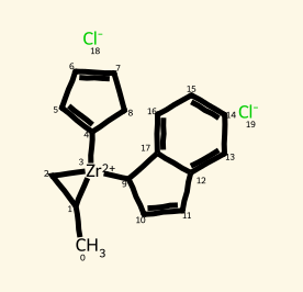 C[CH]1[CH2][Zr+2]1([C]1=CC=CC1)[CH]1C=Cc2ccccc21.[Cl-].[Cl-]